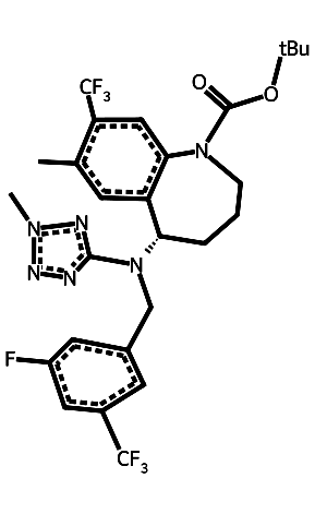 Cc1cc2c(cc1C(F)(F)F)N(C(=O)OC(C)(C)C)CCC[C@@H]2N(Cc1cc(F)cc(C(F)(F)F)c1)c1nnn(C)n1